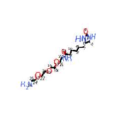 C[C@H]1NC(=O)N[C@H]1CCCCCC(=O)NCCOCCOCCOCCN